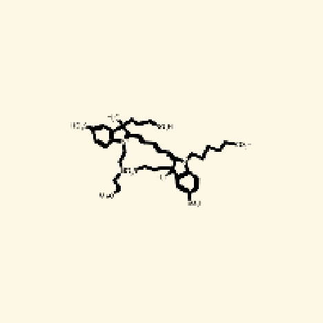 COCCOCC[N+]1=C(/C=C/C=C/C=C2/N(CCCCCC(=O)O)c3ccc(S(=O)(=O)O)cc3C2(C)CCCS(=O)(=O)O)C(C)(CCCS(=O)(=O)O)c2cc(S(=O)(=O)O)ccc21